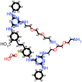 NCCOCCOCCNc1nc(Nc2ccccc2)nc(Nc2ccc(/C=C/c3ccc(Nc4nc(NCCOCCOCCN)nc(Nc5ccccc5)n4)cc3S(=O)(=O)O)c(SOOO)c2)n1